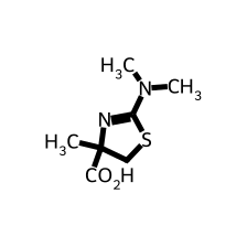 CN(C)C1=NC(C)(C(=O)O)CS1